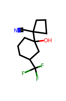 N#CC1(C2(O)CCCC(C(F)(F)F)C2)CCC1